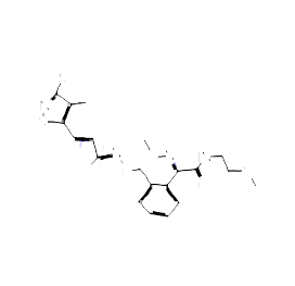 CO/N=C(/C(=O)N[C@H](C)CSC)c1ccccc1CO/N=C(C)/C=C/c1snc(Cl)c1Cl